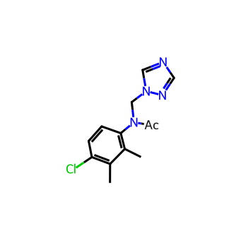 CC(=O)N(Cn1cncn1)c1ccc(Cl)c(C)c1C